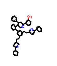 Oc1cccc(-c2cc(-c3ccccc3)c(-c3ccccc3-c3cc(CCc4ccc(-c5ccccc5)nc4)cc(CCc4ccc(-c5ccccc5)nc4)c3)cn2)c1